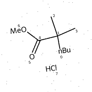 CCCCC(C)(C)C(=O)OC.Cl